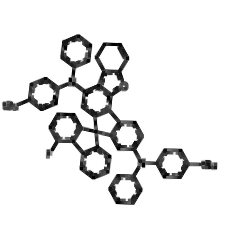 CC(C)(C)c1ccc(N(c2ccccc2)c2ccc3c(c2)C2(c4ccccc4-c4c(F)cccc42)c2cc(N(c4ccccc4)c4ccc(C(C)(C)C)cc4)c4c5c(oc4c2-3)C=CCC5)cc1